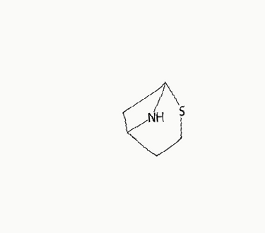 C1CC2CC(N2)S1